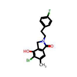 Cc1cc2c(c(O)c1Br)CN(CCc1ccc(F)cc1)C2=O